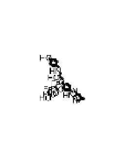 Cc1cnc2[nH]c(-c3ccc(OCC(O)CNCc4ccc(O)cc4)cc3)nc2c1.O=C(O)C(F)(F)F.O=C(O)C(F)(F)F